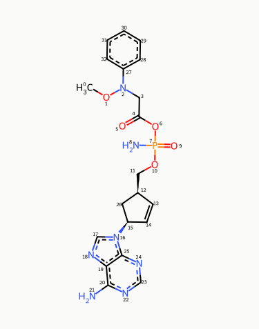 CON(CC(=O)OP(N)(=O)OC[C@H]1C=C[C@@H](n2cnc3c(N)ncnc32)C1)c1ccccc1